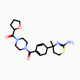 CC1(C2C=CC(C(=O)N3CCN(C(=O)C4CCCO4)CC3)=CC2)CCSC(N)=N1